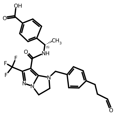 C[C@H](NC(=O)c1c(C(F)(F)F)nn2c1N(Cc1ccc(CCC=O)cc1)CC2)c1ccc(C(=O)O)cc1